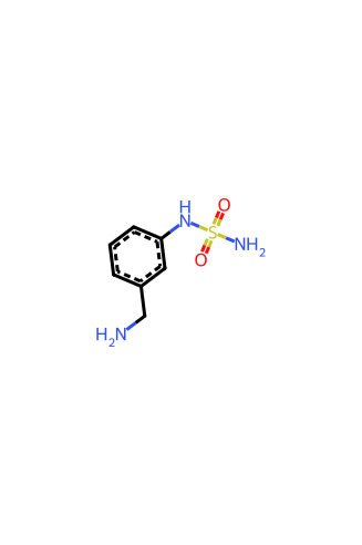 NCc1cccc(NS(N)(=O)=O)c1